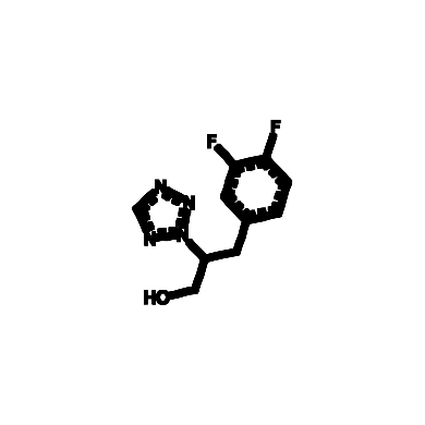 OCC(Cc1ccc(F)c(F)c1)n1ncnn1